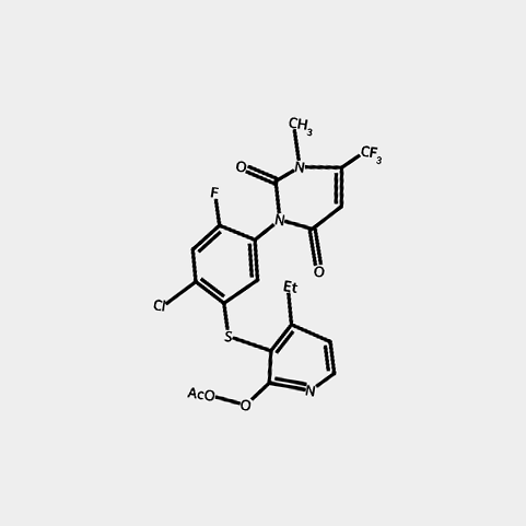 CCc1ccnc(OOC(C)=O)c1Sc1cc(-n2c(=O)cc(C(F)(F)F)n(C)c2=O)c(F)cc1Cl